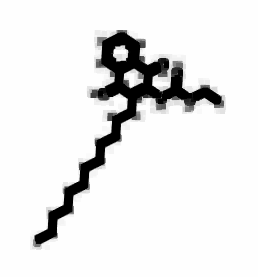 CCCCCCCCCCCCC1=C(OC(=O)OCC)C(=O)c2ccccc2C1=O